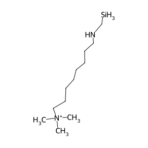 C[N+](C)(C)CCCCCCCCNC[SiH3]